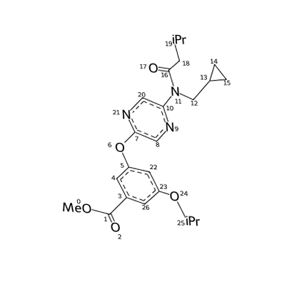 COC(=O)c1cc(Oc2cnc(N(CC3CC3)C(=O)CC(C)C)cn2)cc(OC(C)C)c1